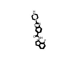 O=C(N[C@@H]1CCc2cccc(F)c21)c1ccc2nc(N3CCNCC3)sc2c1